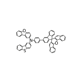 c1ccc2c(c1)-c1cc(-c3ccc(N(c4ccc5oc6ccccc6c5c4)c4ccc5sc6ccccc6c5c4)cc3)ccc1C21c2ccc3ccccc3c2Oc2c1ccc1ccccc21